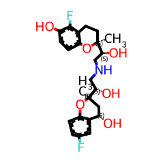 C[C@]1([C@@H](O)CNC[C@H](O)[C@]2(C)CCc3c(ccc(O)c3F)O2)C[C@H](O)c2cc(F)ccc2O1